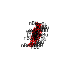 CCCCOC=C(C(=O)Oc1c(OCCCC)c(OCCCC)c(C(C)(C)c2c(OCCCC)c(OCCCC)c(OC(=O)C(=COCCCC)C(OCCCC)(OCCCC)OCCCC)c(OCCCC)c2OCCCC)c(OCCCC)c1OCCCC)C(OCCCC)(OCCCC)OCCCC